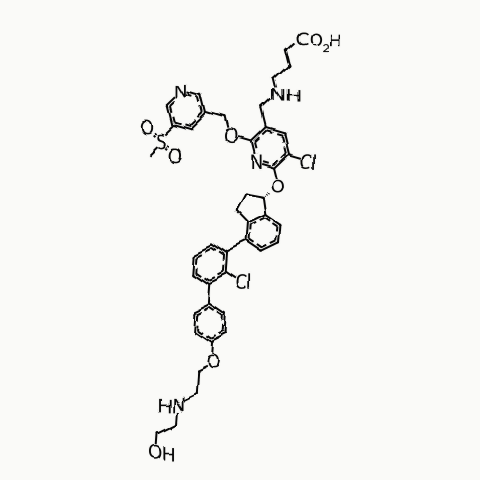 CS(=O)(=O)c1cncc(COc2nc(O[C@H]3CCc4c(-c5cccc(-c6ccc(OCCNCCO)cc6)c5Cl)cccc43)c(Cl)cc2CNCCCC(=O)O)c1